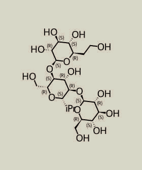 CC(C)[C@@H]1O[C@H](CO)[C@@H](O[C@@H]2O[C@H](CCO)[C@@H](O)[C@H](O)[C@H]2O)[C@H](O)[C@H]1O[C@@H]1O[C@H](CO)[C@@H](O)[C@H](O)[C@H]1O